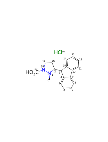 CN1C(C2c3ccccc3-c3ccccc32)CCN1C(=O)O.Cl